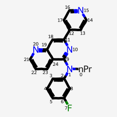 CCCN(c1cccc(F)c1)c1nc(-c2ccncc2)cc2ncccc12